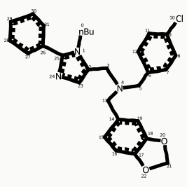 CCCCn1c(CN(Cc2ccc(Cl)cc2)Cc2ccc3c(c2)OCO3)cnc1-c1ccccc1